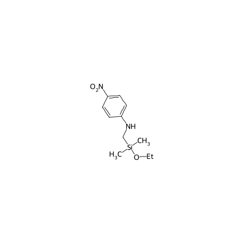 CCO[Si](C)(C)CNc1ccc([N+](=O)[O-])cc1